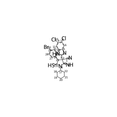 N#CC1(c2nc3cc(Cl)c(Cl)cc3[nH]2)C(=N)N(C2CCCCC2)C(S)C1c1ccc(Br)cc1